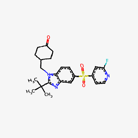 CC(C)(C)c1nc2cc(S(=O)(=O)c3ccnc(F)c3)ccc2n1CC1CCC(=O)CC1